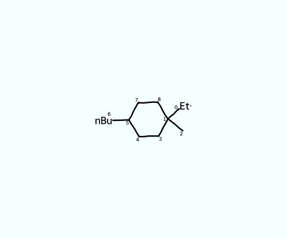 C[CH]C1(C)CCC(CCCC)CC1